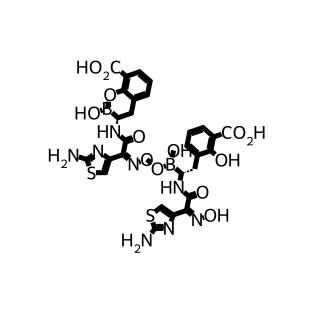 Nc1nc(/C(=N/O)C(=O)N[C@@H](Cc2cccc(C(=O)O)c2O)B(O)OO/N=C(\C(=O)N[C@H]2Cc3cccc(C(=O)O)c3OB2O)c2csc(N)n2)cs1